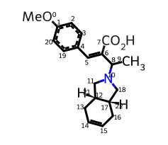 COc1ccc(C=C(C(=O)O)C(C)N2C[C@H]3CC=CC[C@H]3C2)cc1